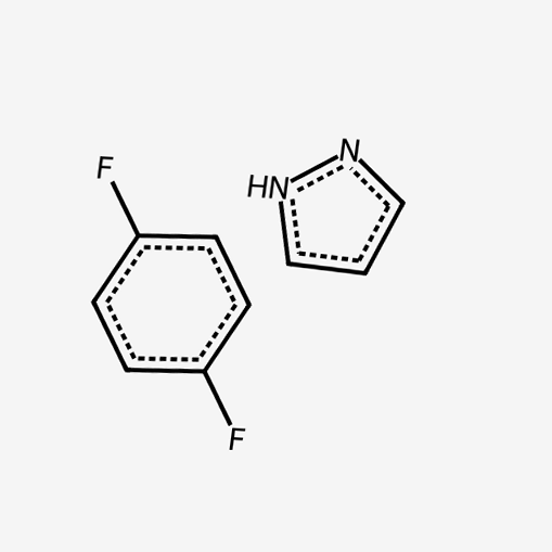 Fc1ccc(F)cc1.c1cn[nH]c1